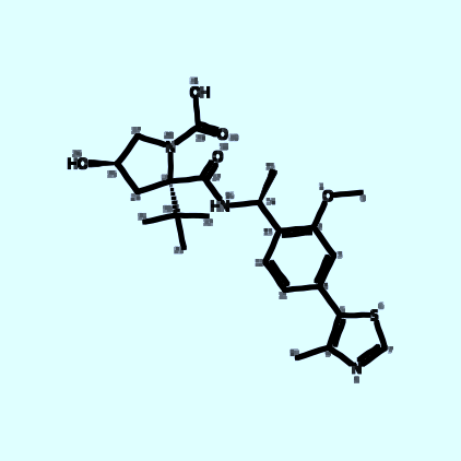 COc1cc(-c2scnc2C)ccc1[C@H](C)NC(=O)[C@@]1(C(C)(C)C)C[C@@H](O)CN1C(=O)O